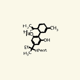 C=C(C)C1CCC(C)=CC1c1c(O)cc(C(C)(CC)CCCCC)cc1O